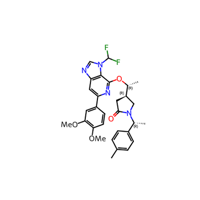 COc1ccc(-c2cc3ncn(C(F)F)c3c(O[C@H](C)[C@@H]3CC(=O)N([C@H](C)c4ccc(C)cc4)C3)n2)cc1OC